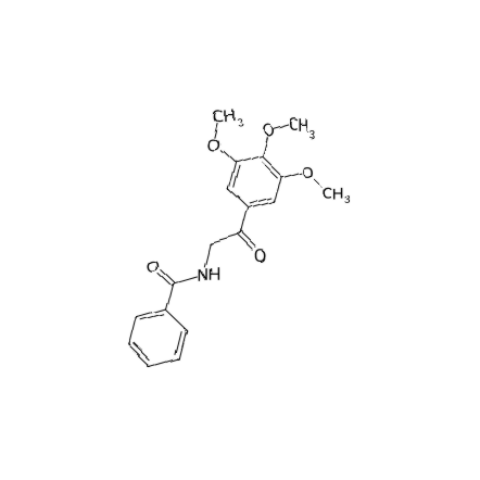 COc1cc(C(=O)CNC(=O)c2ccccc2)cc(OC)c1OC